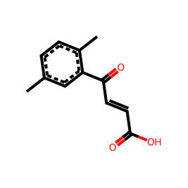 Cc1ccc(C)c(C(=O)C=CC(=O)O)c1